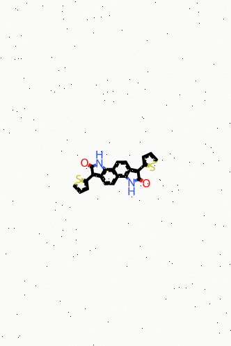 O=C1Nc2c(ccc3c4c(ccc23)=C(c2cccs2)C(=O)N4)=C1c1cccs1